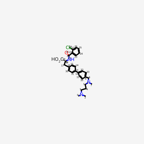 CN(C)CCCN(C)Cc1ccc(-c2ccc(C[C@H](NC(=O)c3ccccc3Cl)C(=O)O)cc2)cc1